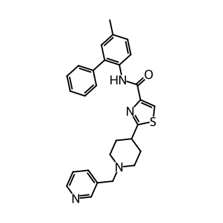 Cc1ccc(NC(=O)c2csc(C3CCN(Cc4cccnc4)CC3)n2)c(-c2ccccc2)c1